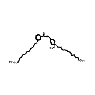 CCCCCCCCCCCCCCCCCCCCOc1cccc(C(=O)/C=C/C2C=CC(OCCCCCCCCCCCCCCCCCCCC)(SCCCC)C=C2)c1